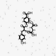 N[C@@H](Cc1ccc(O)cc1)C(=O)Oc1ccc(C(=O)O)cc1.O=C(O)CCC(=O)O